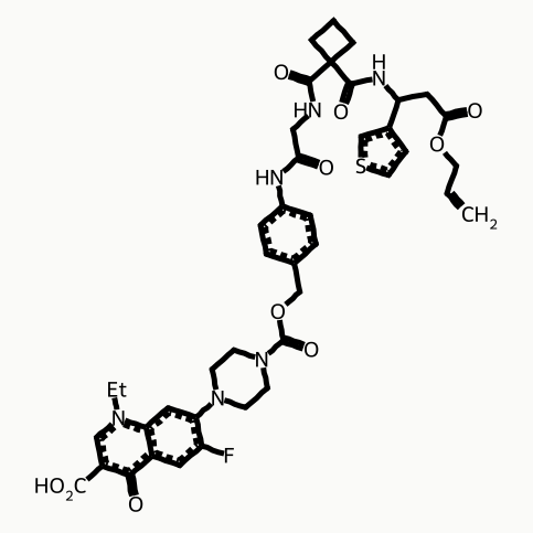 C=CCOC(=O)CC(NC(=O)C1(C(=O)NCC(=O)Nc2ccc(COC(=O)N3CCN(c4cc5c(cc4F)c(=O)c(C(=O)O)cn5CC)CC3)cc2)CCC1)c1ccsc1